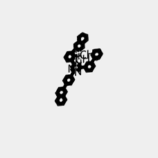 C[Si]1(C)c2cc3ccccc3cc2-c2cccc(-c3nc(-c4ccc(-c5ccc6ccccc6c5)cc4)nc(-c4cccc(-c5ccccc5)c4)n3)c21